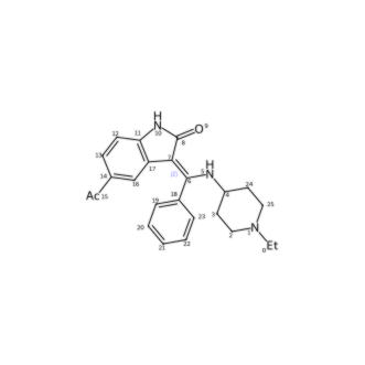 CCN1CCC(N/C(=C2\C(=O)Nc3ccc(C(C)=O)cc32)c2ccccc2)CC1